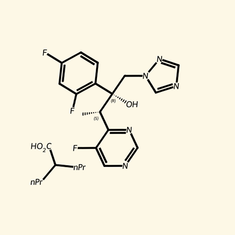 CCCC(CCC)C(=O)O.C[C@@H](c1ncncc1F)[C@](O)(Cn1cncn1)c1ccc(F)cc1F